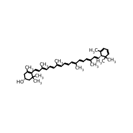 CC1=CC=CC(C)(C)[C@H]1/C=C/C(C)=C/C=C/C(C)=C/C=C/C=C(C)/C=C/C=C(C)/C=C/C1=C(C)C[C@@H](O)CC1(C)C